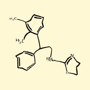 Cc1cccc(C(CNC2=NCCO2)c2ccccc2)c1C